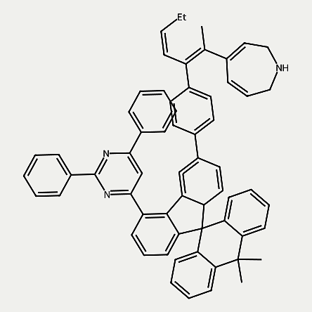 CC/C=C\C(=C(/C)C1=CCNCC=C1)c1ccc(C2=C=C3c4c(-c5cc(-c6ccccc6)nc(-c6ccccc6)n5)cccc4C4(c5ccccc5C(C)(C)c5ccccc54)C3C=C2)cc1